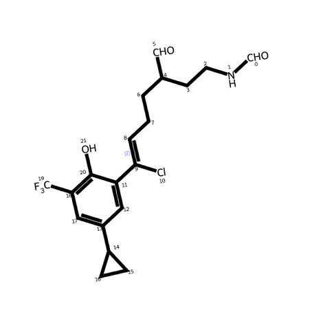 O=CNCCC(C=O)CC/C=C(\Cl)c1cc(C2CC2)cc(C(F)(F)F)c1O